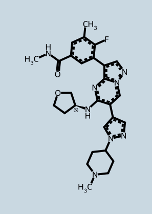 CNC(=O)c1cc(C)c(F)c(-c2cnn3cc(-c4cnn(C5CCN(C)CC5)c4)c(N[C@H]4CCOC4)nc23)c1